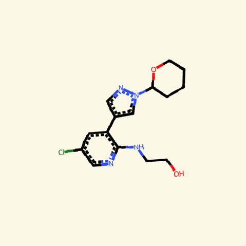 OCCNc1ncc(Cl)cc1-c1cnn(C2CCCCO2)c1